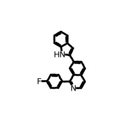 Fc1ccc(-c2nccc3ccc(-c4cc5ccccc5[nH]4)cc23)cc1